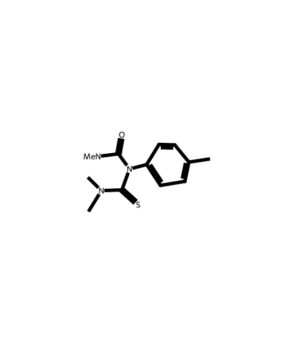 CNC(=O)N(C(=S)N(C)C)c1ccc(C)cc1